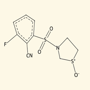 N#Cc1c(F)cccc1S(=O)(=O)N1CC[S+]([O-])C1